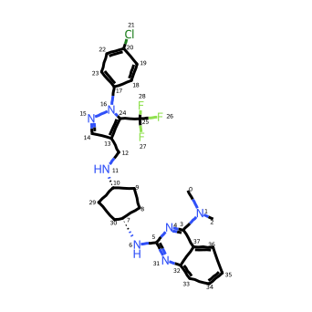 CN(C)c1nc(N[C@H]2CC[C@@H](NCc3cnn(-c4ccc(Cl)cc4)c3C(F)(F)F)CC2)nc2ccccc12